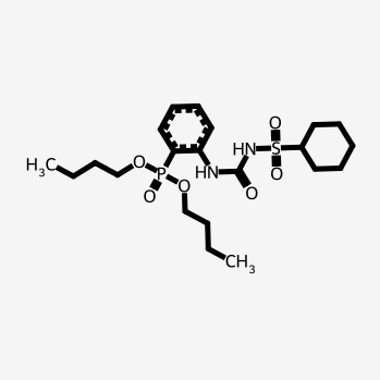 CCCCOP(=O)(OCCCC)c1ccccc1NC(=O)NS(=O)(=O)C1CCCCC1